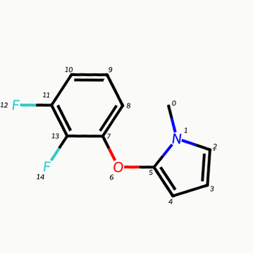 Cn1[c]ccc1Oc1cccc(F)c1F